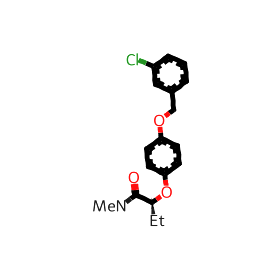 CC[C@H](Oc1ccc(OCc2cccc(Cl)c2)cc1)C(=O)NC